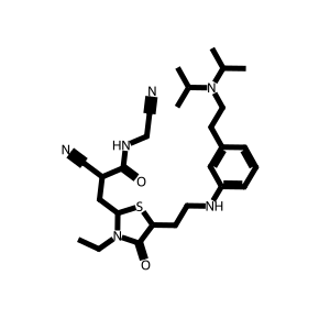 CCN1C(=O)C(CCNc2cccc(CCN(C(C)C)C(C)C)c2)SC1CC(C#N)C(=O)NCC#N